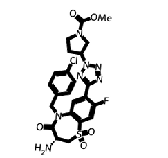 COC(=O)N1CCC(n2nnc(-c3cc4c(cc3F)S(=O)(=O)C[C@H](N)C(=O)N4Cc3ccc(Cl)cc3)n2)C1